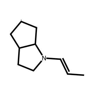 CC=CN1CCC2C[CH]CC21